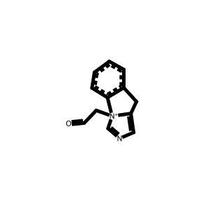 O=CC[N+]12C=NC=C1Cc1ccccc12